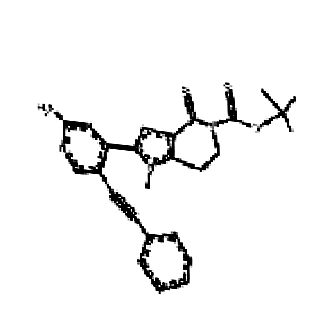 Cn1c(-c2nc(N)ncc2C#Cc2ccccc2)cc2c1CCN(C(=O)OC(C)(C)C)C2=O